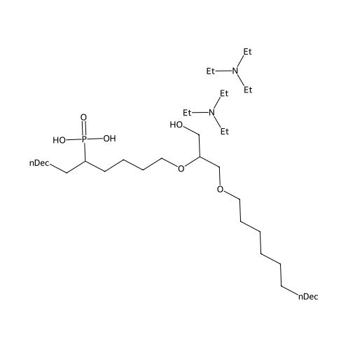 CCCCCCCCCCCCCCCCOCC(CO)OCCCCC(CCCCCCCCCCC)P(=O)(O)O.CCN(CC)CC.CCN(CC)CC